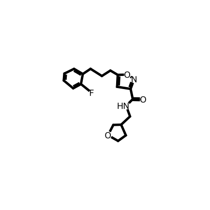 O=C(NCC1CCOC1)c1cc(CCCc2ccccc2F)on1